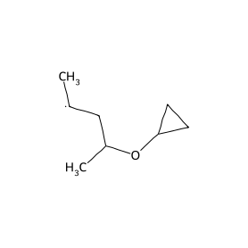 C[CH]CC(C)OC1CC1